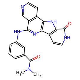 CN(C)C(=O)c1cccc(Nc2nc3c4cc[nH]c(=O)c4[nH]c3c3ccncc23)c1